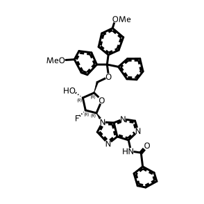 COc1ccc(C(OC[C@H]2O[C@@H](n3cnc4c(NC(=O)c5ccccc5)ncnc43)[C@H](F)[C@@H]2O)(c2ccccc2)c2ccc(OC)cc2)cc1